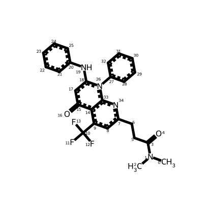 CN(C)C(=O)CCc1cc(C(F)(F)F)c2c(=O)cc(Nc3ccccc3)n(-c3ccccc3)c2n1